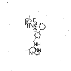 Cc1cc(NCc2ccc(-c3ccccc3S(=O)(=O)Nc3noc(C)c3F)cc2)n2nccc2n1